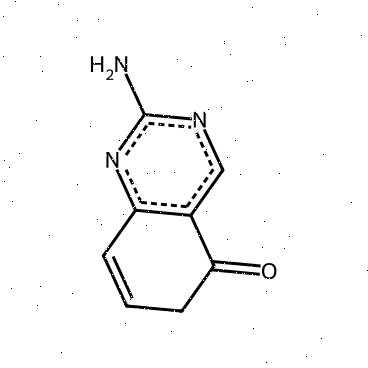 Nc1ncc2c(n1)C=CCC2=O